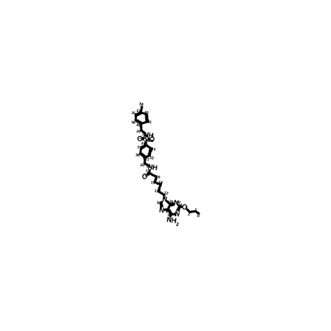 CCCOc1nc(N)c2ncn(CCCCCC(=O)NCc3ccc(S(=O)(=O)NCc4ccc(C)cc4)cc3)c2n1